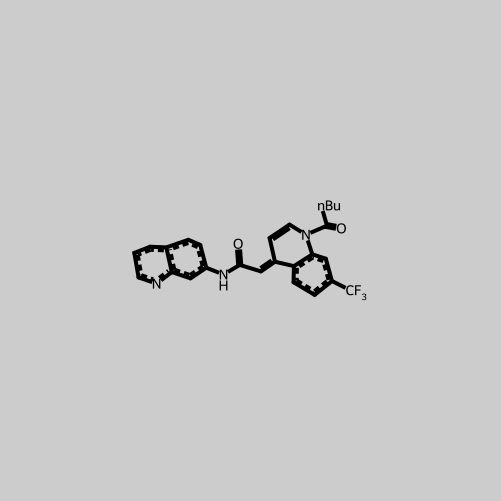 CCCCC(=O)N1C=CC(=CC(=O)Nc2ccc3cccnc3c2)c2ccc(C(F)(F)F)cc21